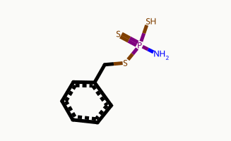 NP(=S)(S)SCc1ccccc1